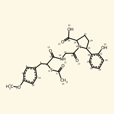 COc1ccc(CC(SC(C)=O)C(=O)NCC(=O)N2C(C(=O)O)CCC2c2ccccc2O)cc1